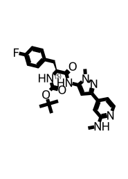 CNc1cc(-c2cc(NC(=O)[C@H](Cc3ccc(F)cc3)NC(=O)OC(C)(C)C)n(C)n2)ccn1